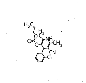 C=CCOC(=O)OC1=C(C)NC(C)=C(C#N)C1c1ccccc1Cl